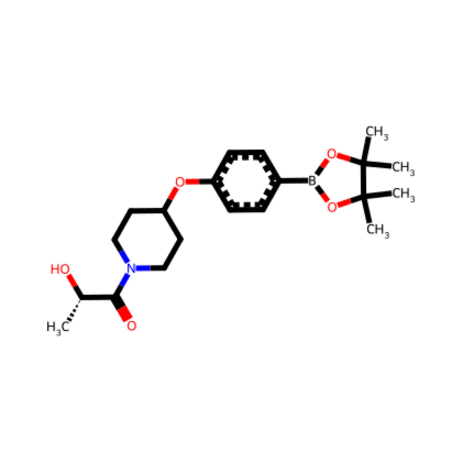 C[C@H](O)C(=O)N1CCC(Oc2ccc(B3OC(C)(C)C(C)(C)O3)cc2)CC1